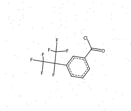 O=C(Cl)c1cccc(C(F)(C(F)(F)F)C(F)(F)F)c1